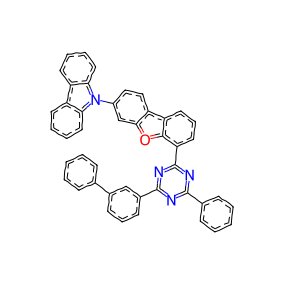 c1ccc(-c2cccc(-c3nc(-c4ccccc4)nc(-c4cccc5c4oc4cc(-n6c7ccccc7c7ccccc76)ccc45)n3)c2)cc1